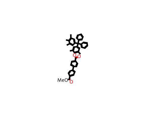 COC(=O)c1ccc(-c2ccc(C(=O)Oc3c(C)cc(C(c4ccccc4)(c4ccccc4)c4cc(C)c(C)c(C)c4)cc3C)cc2)cc1